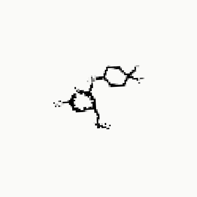 CC(=O)NCc1cc(C#N)nc(NC2CCC(F)(F)CC2)c1